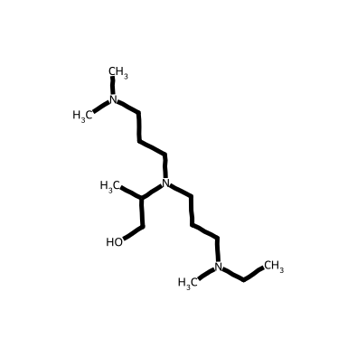 CCN(C)CCCN(CCCN(C)C)C(C)CO